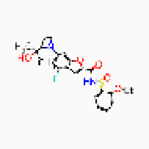 CCOc1ccccc1[S+]([O-])NC(=O)c1cc2c(F)cc(N3CCC3C(C)(C)O)cc2o1